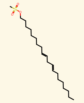 CCCCCCCC=CCC=CCCCCCCCCOS(C)(=O)=O